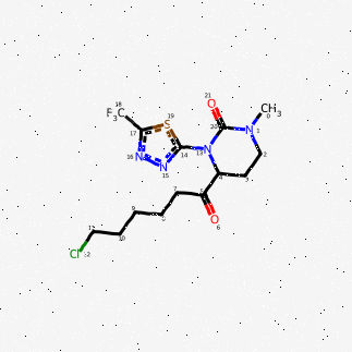 CN1CCC(C(=O)CCCCCCl)N(c2nnc(C(F)(F)F)s2)C1=O